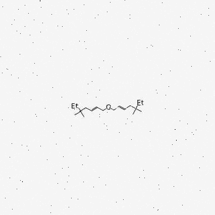 CCC(C)(C)CC=CCOCC=CCC(C)(C)CC